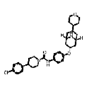 O=C(Nc1ccc(O[C@H]2C[C@H]3CC(C4CCOCC4)C[C@@H](C2)N3)cc1)N1CCC(c2ccc(Cl)cc2)CC1